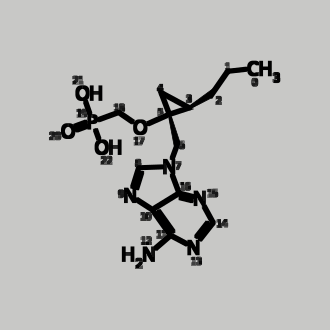 CCC[C@@H]1C[C@@]1(Cn1cnc2c(N)ncnc21)OCP(=O)(O)O